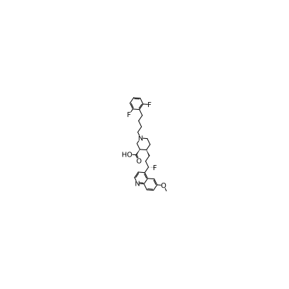 COc1ccc2nccc([C@@H](F)CC[C@@H]3CCN(CCCCc4c(F)cccc4F)C[C@@H]3C(=O)O)c2c1